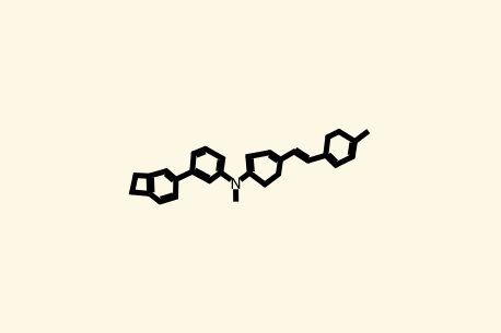 CC1=CC=C(/C=C/C2=CC=C(N(C)c3cccc(-c4ccc5c(c4)CC5)c3)CC2)CC1